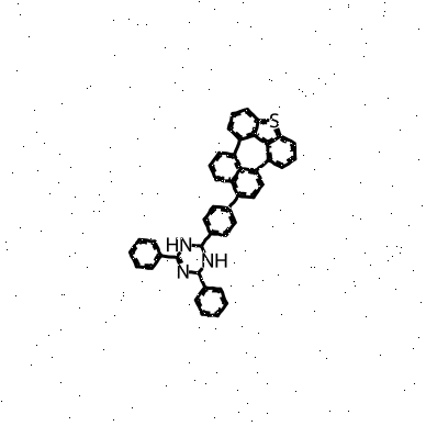 c1ccc(C2=NC(c3ccccc3)NC(c3ccc(-c4ccc5c6c(cccc46)-c4cccc6sc7cccc-5c7c46)cc3)N2)cc1